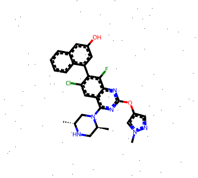 C[C@@H]1CN(c2nc(Oc3cnn(C)c3)nc3c(F)c(-c4cc(O)cc5ccccc45)c(Cl)cc23)[C@@H](C)CN1